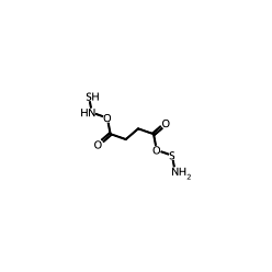 NSOC(=O)CCC(=O)ONS